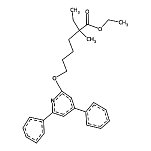 CCOC(=O)C(C)(CC)CCCCOc1cc(-c2ccccc2)cc(-c2ccccc2)n1